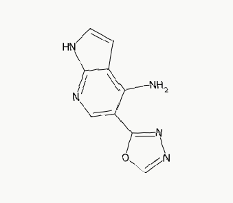 Nc1c(-c2nnco2)cnc2[nH]ccc12